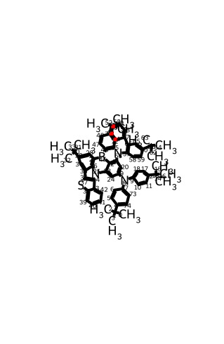 CC(C)(C)c1ccc(N(c2ccc(C(C)(C)C)cc2)c2cc3c4c(c2)-n2c5c(cc(C(C)(C)C)cc5c5sc6ccccc6c52)B4c2ccc(C(C)(C)C)cc2N3c2ccc(C(C)(C)C)cc2-c2ccccc2)cc1